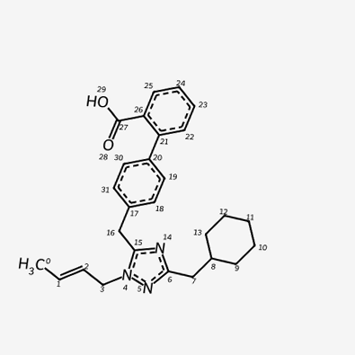 CC=CCn1nc(CC2CCCCC2)nc1Cc1ccc(-c2ccccc2C(=O)O)cc1